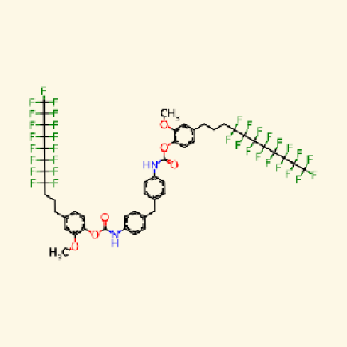 COc1cc(CCCC(F)(F)C(F)(F)C(F)(F)C(F)(F)C(F)(F)C(F)(F)C(F)(F)C(F)(F)F)ccc1OC(=O)Nc1ccc(Cc2ccc(NC(=O)Oc3ccc(CCCC(F)(F)C(F)(F)C(F)(F)C(F)(F)C(F)(F)C(F)(F)C(F)(F)C(F)(F)F)cc3OC)cc2)cc1